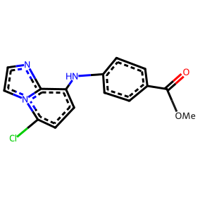 COC(=O)c1ccc(Nc2ccc(Cl)n3ccnc23)cc1